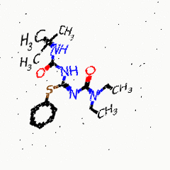 CCN(CC)C(=O)N=C(NC(=O)NC(C)(C)C)Sc1ccccc1